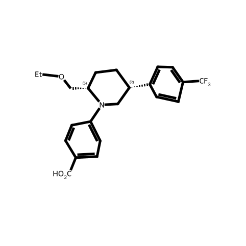 CCOC[C@@H]1CC[C@H](c2ccc(C(F)(F)F)cc2)CN1c1ccc(C(=O)O)cc1